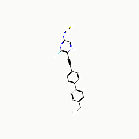 CCc1ccc(-c2ccc(C#Cc3ncc(N=C=S)nc3F)cc2)cc1